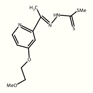 COCCOc1ccnc(/C(C)=N/NC(=S)SC)c1